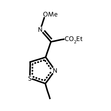 CCOC(=O)C(=NOC)c1csc(C)n1